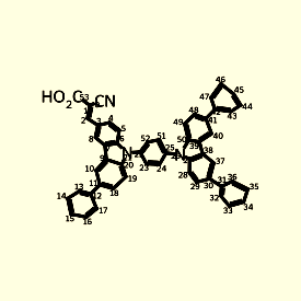 N#C/C(=C\c1ccc2c(c1)c1cc(-c3ccccc3)ccc1n2-c1ccc(-n2c3ccc(-c4ccccc4)cc3c3cc(-c4ccccc4)ccc32)cc1)C(=O)O